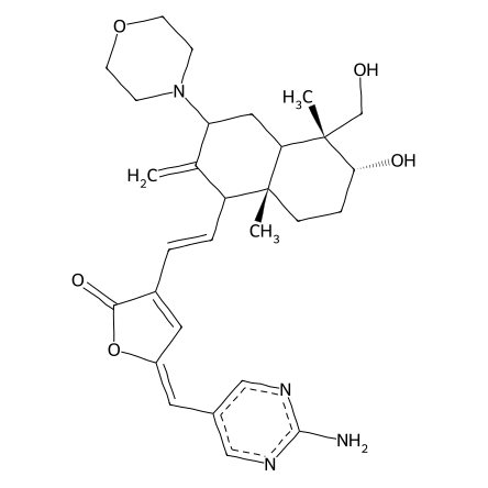 C=C1C(N2CCOCC2)CC2[C@](C)(CC[C@@H](O)[C@@]2(C)CO)C1/C=C/C1=CC(=C\c2cnc(N)nc2)/OC1=O